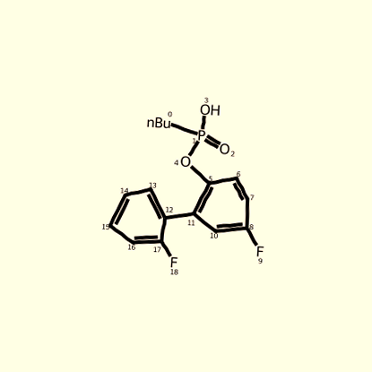 CCCCP(=O)(O)Oc1ccc(F)cc1-c1ccccc1F